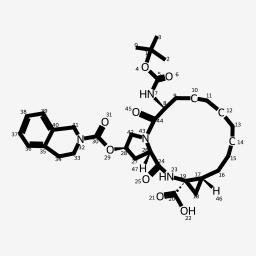 CC(C)(C)OC(=O)N[C@H]1CCCCCCCC[C@@H]2C[C@@]2(C(=O)O)NC(=O)[C@@H]2C[C@@H](OC(=O)N3CCc4ccccc4C3)CN2C1=O